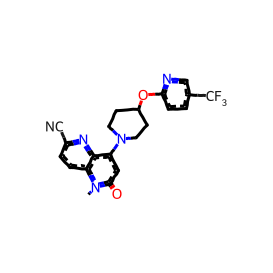 Cn1c(=O)cc(N2CCC(Oc3ccc(C(F)(F)F)cn3)CC2)c2nc(C#N)ccc21